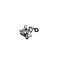 O=C1NC(c2cccs2)(c2cccs2)C(O)N1C1CCN(Cc2ccccc2)CC1